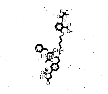 COC(=O)c1c(OCCCCNC[C@H](Cc2ccc(C3CC(=O)NS3(=O)=O)cc2)NC(=O)[C@H](Cc2ccccc2)NC(C)=O)cccc1OC(=O)C(F)(F)F